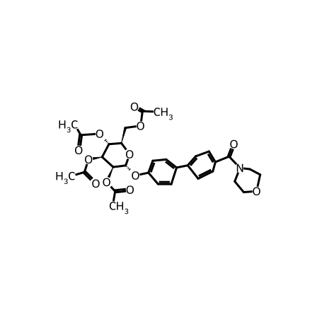 CC(=O)OC[C@H]1O[C@H](Oc2ccc(-c3ccc(C(=O)N4CCOCC4)cc3)cc2)[C@@H](OC(C)=O)[C@@H](OC(C)=O)[C@@H]1OC(C)=O